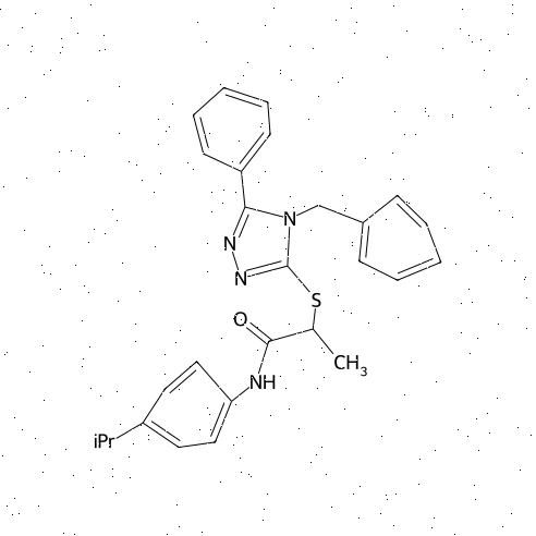 CC(Sc1nnc(-c2ccccc2)n1Cc1ccccc1)C(=O)Nc1ccc(C(C)C)cc1